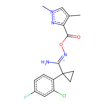 Cc1cn(C)nc1C(=O)O/N=C(\N)C1(c2ccc(F)cc2Cl)CC1